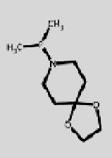 CP(C)N1CCC2(CC1)OCCO2